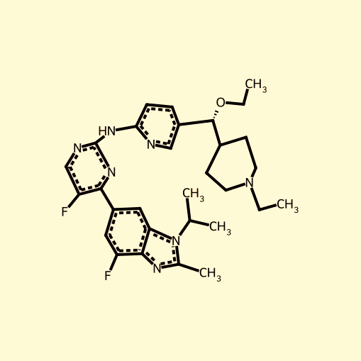 CCO[C@@H](c1ccc(Nc2ncc(F)c(-c3cc(F)c4nc(C)n(C(C)C)c4c3)n2)nc1)C1CCN(CC)CC1